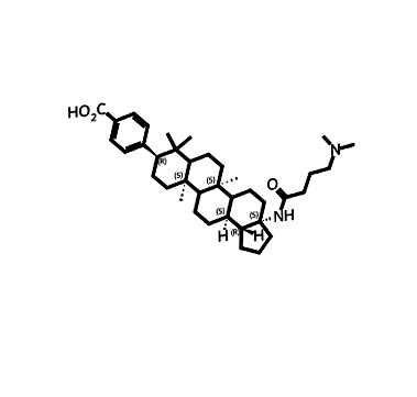 CN(C)CCCC(=O)N[C@]12CCC[C@@H]1[C@H]1CCC3[C@@](C)(CCC4C(C)(C)[C@H](c5ccc(C(=O)O)cc5)CC[C@@]43C)C1CC2